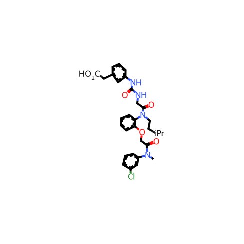 CC(C)CCN(C(=O)CNC(=O)Nc1cccc(CC(=O)O)c1)c1ccccc1OCC(=O)N(C)c1cccc(Cl)c1